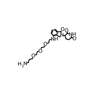 NCCCOCCOCCOCCNc1cccc2c1CN(C1CCC(=O)NC1=O)C2=O